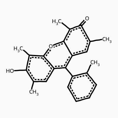 Cc1ccccc1-c1c2cc(C)c(=O)c(C)c-2oc2c(C)c(O)c(C)cc12